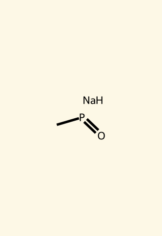 CP=O.[NaH]